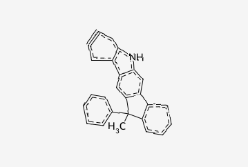 CC1(c2ccccc2)c2ccccc2-c2cc3[nH]c4cc#ccc4c3cc21